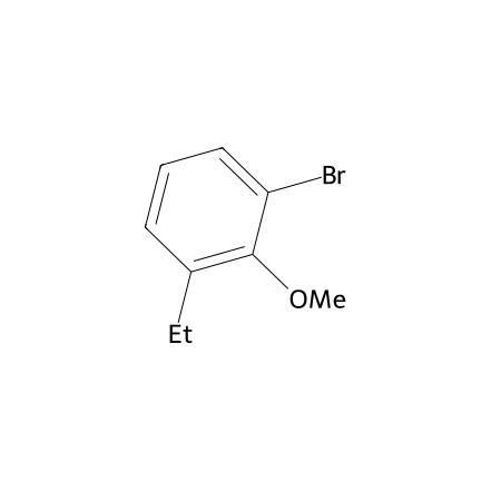 CCc1cccc(Br)c1OC